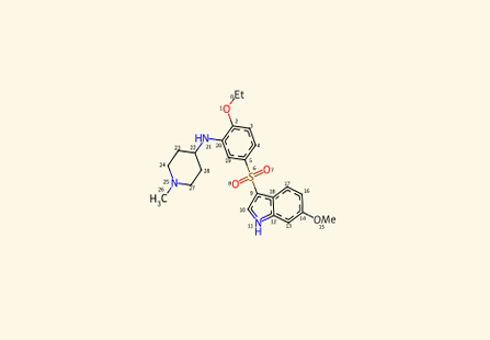 CCOc1ccc(S(=O)(=O)c2c[nH]c3cc(OC)ccc23)cc1NC1CCN(C)CC1